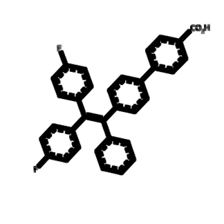 O=C(O)c1ccc(-c2ccc(C(=C(c3ccc(F)cc3)c3ccc(F)cc3)c3ccccc3)cc2)cc1